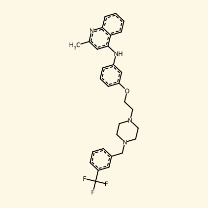 Cc1cc(Nc2cccc(OCCN3CCN(Cc4cccc(C(F)(F)F)c4)CC3)c2)c2ccccc2n1